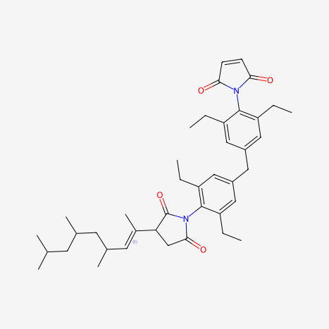 CCc1cc(Cc2cc(CC)c(N3C(=O)CC(/C(C)=C/C(C)CC(C)CC(C)C)C3=O)c(CC)c2)cc(CC)c1N1C(=O)C=CC1=O